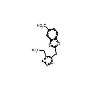 O=C(O)Cn1nnnc1Sc1nc2ccc(C(=O)O)cc2s1